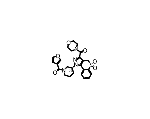 O=C(c1ccoc1)N1CCC[C@H](n2nc(C(=O)N3CCOCC3)c3c2-c2ccccc2S(=O)(=O)C3)C1